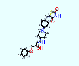 O=C1NC(=O)/C(=C\c2ccc(N3CCC(NCC(O)COc4ccccc4)CC3)cc2)S1